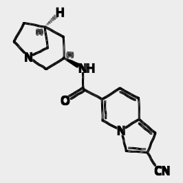 N#Cc1cc2ccc(C(=O)N[C@@H]3C[C@@H]4CCN(C4)C3)cn2c1